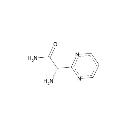 NC(=O)[C@@H](N)c1ncccn1